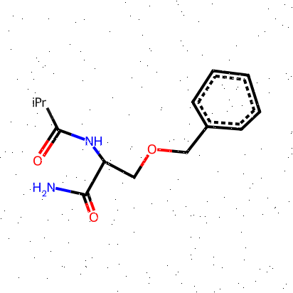 CC(C)C(=O)NC(COCc1ccccc1)C(N)=O